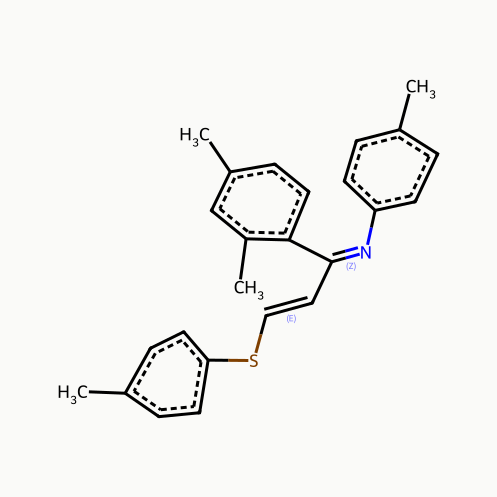 Cc1ccc(/N=C(/C=C/Sc2ccc(C)cc2)c2ccc(C)cc2C)cc1